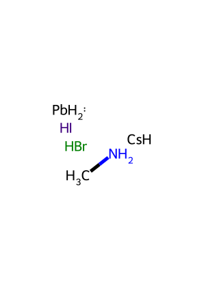 Br.CN.I.[CsH].[PbH2]